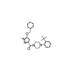 Cn1nc(C(=O)N2CCN(c3ccccc3C(C)(C)C)CC2)cc1OCc1ccccc1